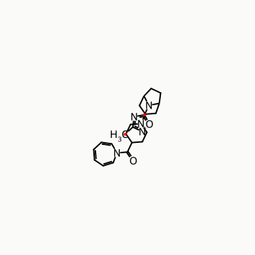 Cc1noc(N2C3CCC2CC(N2CCC(C(=O)N4C=CC=CC=C4)CC2)C3)n1